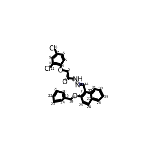 O=C(COc1ccc(Cl)cc1Cl)N/N=C/c1c(OCc2ccccc2)ccc2ccccc12